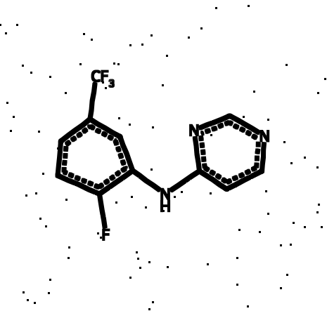 Fc1ccc(C(F)(F)F)cc1Nc1ccncn1